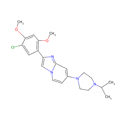 COc1cc(OC)c(-c2cn3ccc(N4CCN(C(C)C)CC4)cc3n2)cc1Cl